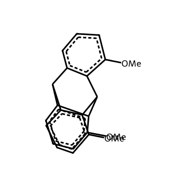 COc1cccc2c1C1c3c(OC)cccc3C2c2cccc(OC)c21